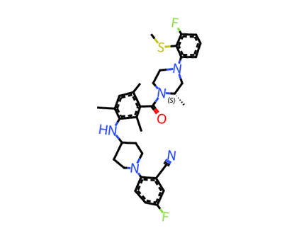 CSc1c(F)cccc1N1CCN(C(=O)c2c(C)cc(C)c(NC3CCN(c4ccc(F)cc4C#N)CC3)c2C)[C@@H](C)C1